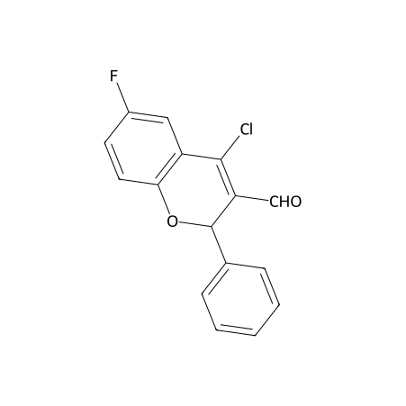 O=CC1=C(Cl)c2cc(F)ccc2OC1c1ccccc1